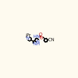 C[C](C)CN1CC=C(c2c[nH]c3ncc(NC(=O)OCc4cccc(C#N)c4)cc23)CC1